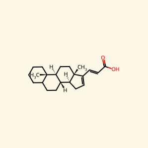 C[C@]12CCCCC1CC[C@@H]1[C@@H]2CC[C@]2(C)C(C=CC(=O)O)=CC[C@@H]12